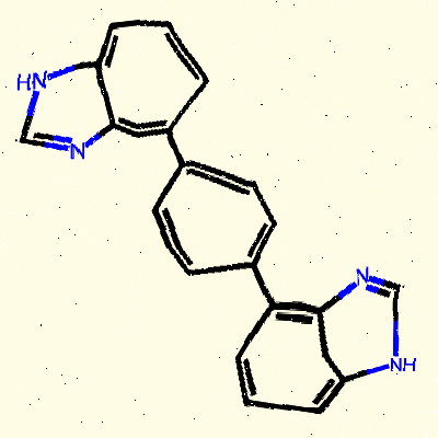 [c]1nc2c(-c3ccc(-c4cccc5[nH][c]nc45)cc3)cccc2[nH]1